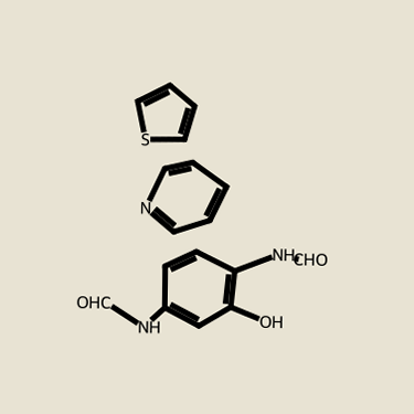 O=CNc1ccc(NC=O)c(O)c1.c1ccncc1.c1ccsc1